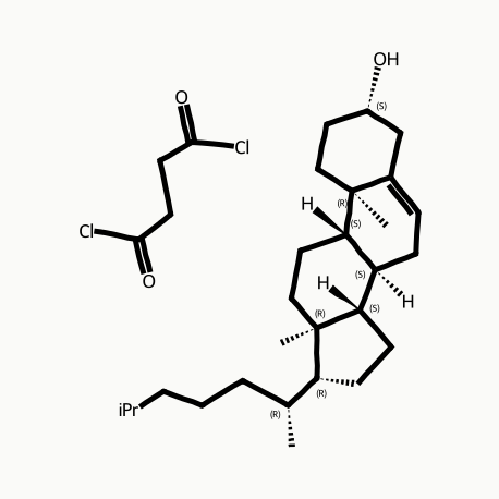 CC(C)CCC[C@@H](C)[C@H]1CC[C@H]2[C@@H]3CC=C4C[C@@H](O)CC[C@]4(C)[C@H]3CC[C@]12C.O=C(Cl)CCC(=O)Cl